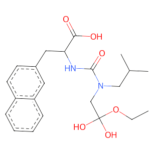 CCOC(O)(O)CN(CC(C)C)C(=O)NC(Cc1ccc2ccccc2c1)C(=O)O